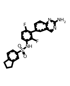 Nc1ncc2cc(-c3c(F)ccc(NS(=O)(=O)c4ccc5c(c4)CCC5)c3F)ccc2n1